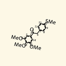 COc1cc(C(=O)Cc2ccc(SC)cc2)cc(OC)c1OC